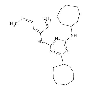 C=C/C(=C\C=C/C)Nc1nc(NC2CCCCCCC2)nc(C2CCCCCCC2)n1